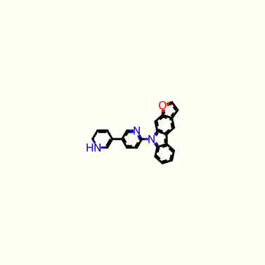 C1=CC(c2ccc(-n3c4ccccc4c4cc5ccoc5cc43)nc2)=CNC1